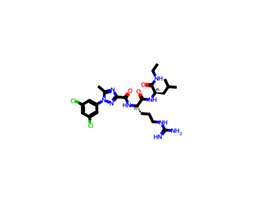 CCNC(=O)[C@@H](CC(C)C)NC(=O)[C@H](CCCNC(=N)N)NC(=O)c1nc(C)n(-c2cc(Cl)cc(Cl)c2)n1